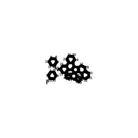 Fc1ccc(N(c2ccccc2)c2ccc3c4c(c5ccccc5c3c2)-c2ccc3ccccc3c2C42c3ccccc3-c3ccccc32)cc1